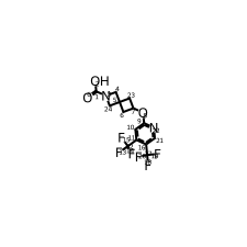 O=C(O)N1CC2(CC(Oc3cc(C(F)(F)F)c(C(F)(F)F)cn3)C2)C1